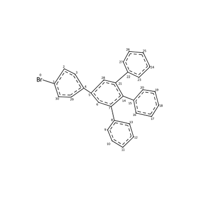 Brc1ccc(-c2cc(-c3ccccc3)c(-c3ccccc3)c(-c3ccccc3)c2)cc1